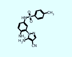 Cc1ccc(S(=O)(=O)Nc2ccc(N)c(-n3ncc(C#N)c3N)c2)cc1